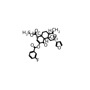 C=C1O[C@H](c2ccoc2)C[C@]2(C)[C@H]3C(=O)C(OC(=O)c4cccc(F)c4)=C[C@@H](C(=O)OC)[C@]3(C)CC[C@@H]12